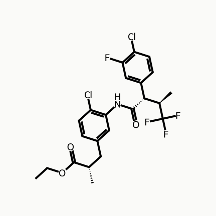 CCOC(=O)[C@@H](C)Cc1ccc(Cl)c(NC(=O)[C@H](c2ccc(Cl)c(F)c2)[C@@H](C)C(F)(F)F)c1